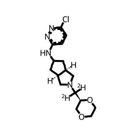 [2H]C([2H])([C@@H]1COCCO1)N1C[C@H]2CC(Nc3ccc(Cl)nn3)C[C@H]2C1